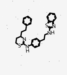 c1ccc(CCC2CCSC(Nc3ccc(CCNc4nc5ccccc5s4)cc3)=N2)cc1